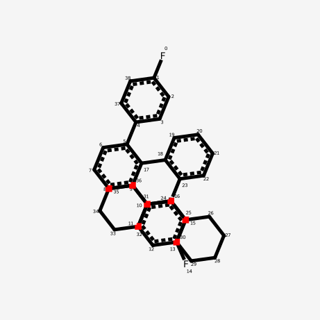 Fc1ccc(-c2cccc(-c3ccc(F)cc3)c2-c2ccccc2P(C2CCCCC2)C2CCCCC2)cc1